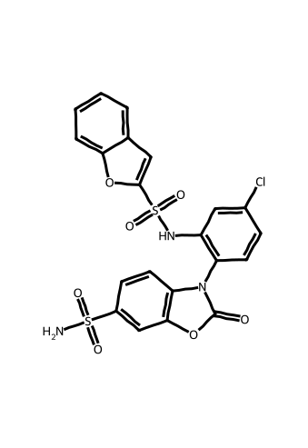 NS(=O)(=O)c1ccc2c(c1)oc(=O)n2-c1ccc(Cl)cc1NS(=O)(=O)c1cc2ccccc2o1